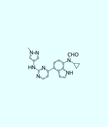 Cn1cc(Nc2nccc(-c3ccc(N(C=O)C4CC4)c4[nH]ccc34)n2)cn1